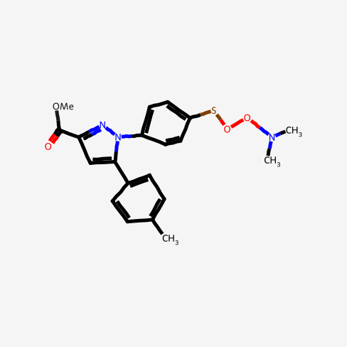 COC(=O)c1cc(-c2ccc(C)cc2)n(-c2ccc(SOON(C)C)cc2)n1